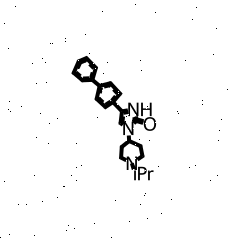 CC(C)N1CCC(n2cc(-c3ccc(-c4ccccc4)cc3)[nH]c2=O)CC1